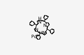 C1=Cc2nc1c(-c1ccccc1)c1ccc([nH]1)c(-c1ccccc1)c1nc(c(-c3ccccc3)c3ccc([nH]3)c2-c2ccccc2)C=C1.[Pd+2]